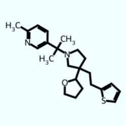 Cc1ccc(C(C)(C)N2CCC(CCc3cccs3)(C3CCCO3)C2)cn1